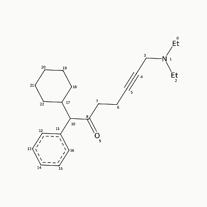 CCN(CC)CC#CCCC(=O)C(c1ccccc1)C1CCCCC1